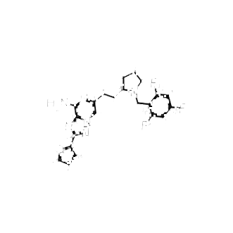 Nc1nc(CC[C@H]2CCCN2Cc2c(F)cc(F)cc2F)cn2nc(-c3ccco3)nc12